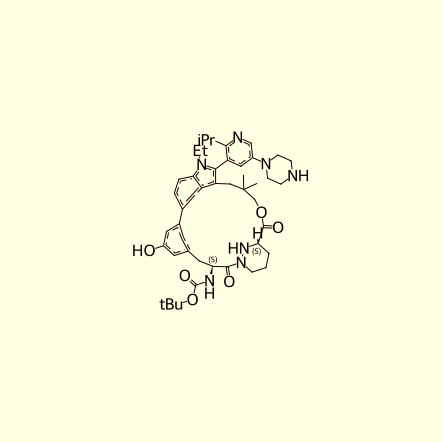 CCn1c(-c2cc(N3CCNCC3)cnc2C(C)C)c2c3cc(ccc31)-c1cc(O)cc(c1)C[C@H](NC(=O)OC(C)(C)C)C(=O)N1CCC[C@H](N1)C(=O)OCC(C)(C)C2